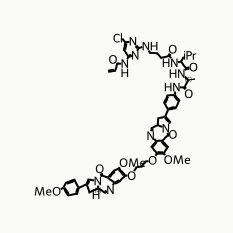 C=CC(=O)Nc1cc(Cl)nc(NCCCC(=O)NC(C(=O)N[C@@H](C)C(=O)Nc2ccc(C3=CN4C(=O)c5cc(OC)c(OCCCOc6cc7c(cc6OC)C(=O)N6C=C(c8ccc(OC)cc8)C[C@H]6C=N7)cc5N=CC4C3)cc2)C(C)C)n1